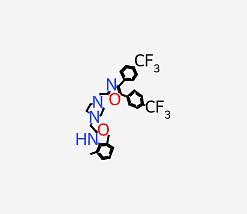 Cc1cccc(C)c1NC(=O)CN1CCN(Cc2nc(-c3ccc(C(F)(F)F)cc3)c(-c3ccc(C(F)(F)F)cc3)o2)CC1